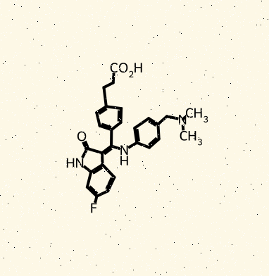 CN(C)Cc1ccc(N/C(=C2/C(=O)Nc3cc(F)ccc32)c2ccc(CCC(=O)O)cc2)cc1